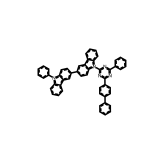 c1ccc(-c2ccc(-c3nc(-c4ccccc4)nc(-n4c5ccccc5c5cc(-c6ccc7c(c6)c6ccccc6n7-c6ccccc6)ccc54)n3)cc2)cc1